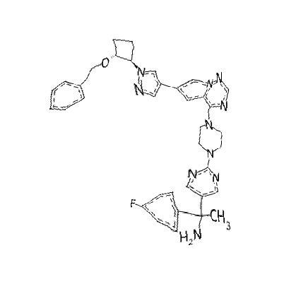 CC(N)(c1ccc(F)cc1)c1cnc(N2CCN(c3ncnn4cc(-c5cnn([C@@H]6CC[C@H]6OCc6ccccc6)c5)cc34)CC2)nc1